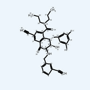 C#Cc1cccc(CNC[C@H](O)[C@@H](Cc2cc(F)cc(F)c2)c2c(C(N)=O)cc(C#C)cc2C(=O)N(CCC)CCC)c1